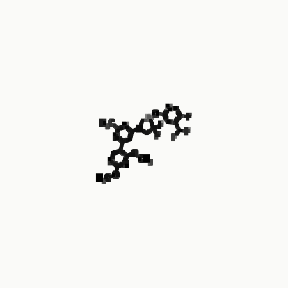 COc1ncc(-c2cc(N3C[C@H](Oc4cc(C(F)F)c(F)cn4)C(F)(F)C3)nc(C)n2)c(OC)n1